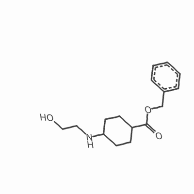 O=C(OCc1ccccc1)C1CCC(NCCO)CC1